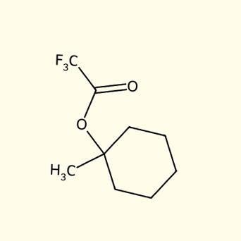 CC1(OC(=O)C(F)(F)F)CCCCC1